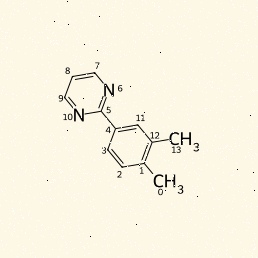 Cc1ccc(-c2ncccn2)cc1C